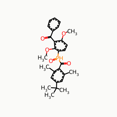 COc1ccc([PH](=O)C(=O)c2c(C)cc(C(C)(C)C)cc2C)c(OC)c1C(=O)c1ccccc1